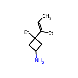 C/C=C(\CC)C1(CC)CC(N)C1